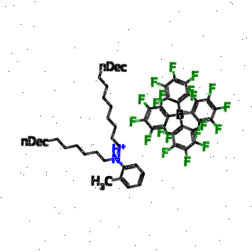 CCCCCCCCCCCCCCCCCC[NH+](CCCCCCCCCCCCCCCC)c1ccccc1C.Fc1c(F)c(F)c([B-](c2c(F)c(F)c(F)c(F)c2F)(c2c(F)c(F)c(F)c(F)c2F)c2c(F)c(F)c(F)c(F)c2F)c(F)c1F